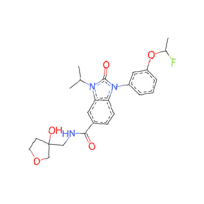 CC(F)Oc1cccc(-n2c(=O)n(C(C)C)c3cc(C(=O)NCC4(O)CCOC4)ccc32)c1